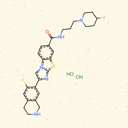 Cl.Cl.O=C(NCCCN1CCC(F)CC1)c1ccc2c(c1)sc1nc(-c3cc4c(cc3F)CCNC4)cn12